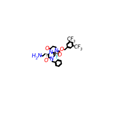 NCC[C@H]1C(=O)N(Cc2ccccc2F)C[C@@H]2N(C(=O)OCc3cc(C(F)(F)F)cc(C(F)(F)F)c3)CCC(=O)N21